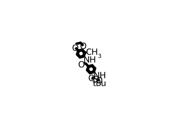 Cc1c(NC(=O)c2ccc(NS(=O)(=O)C(C)(C)C)cc2)ccc2c1OCCO2